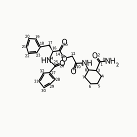 NC(=O)C1CCCCC1NC(=O)COC(=O)[C@H](Cc1ccccc1)NC(=O)c1ccccc1